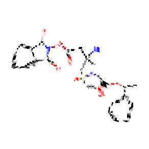 CC(=O)NS(=O)(CC(C)(N)CC(=O)ON1C(=O)c2ccccc2C1=O)=NC(=O)O[C@@H](C)c1ccccc1